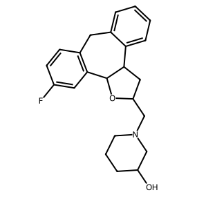 OC1CCCN(CC2CC3c4ccccc4Cc4ccc(F)cc4C3O2)C1